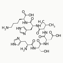 CC(C)[C@H](NC(=O)[C@H](CC(=O)O)NC(=O)[C@H](CO)NC(=O)[C@@H](N)Cc1c[nH]cn1)C(=O)N[C@@H](Cc1c[nH]cn1)C(=O)N[C@@H](CCCCN)C(=O)O